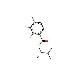 Cc1ccc(C(=O)N[C@H](C)C(C)C)c(F)c1F